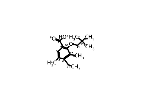 CCc1c(C)cc(C(=O)O)c(OCC(C)(C)C)c1C